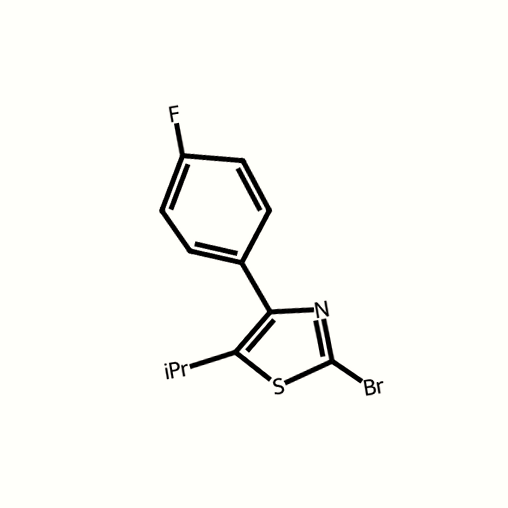 CC(C)c1sc(Br)nc1-c1ccc(F)cc1